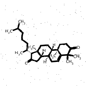 CC(C)CCCC(C)[C@H]1C(=O)C[C@H]2[C@@H]3CC=C4C(C)(C)C(=O)CC[C@]4(C)[C@H]3CC[C@]12C